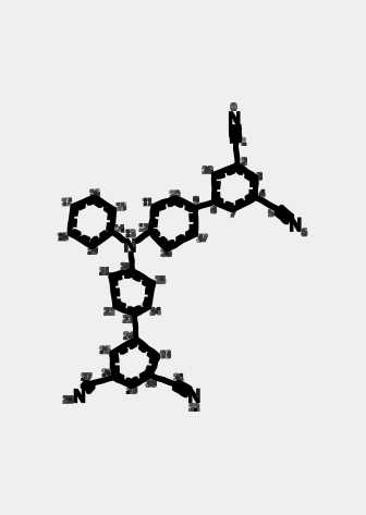 N#Cc1cc(C#N)cc(-c2ccc(N(c3ccccc3)c3ccc(-c4cc(C#N)cc(C#N)c4)cc3)cc2)c1